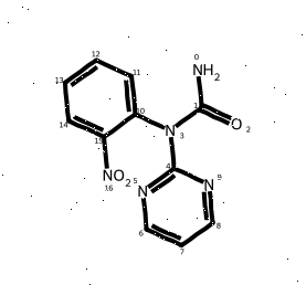 NC(=O)N(c1ncccn1)c1ccccc1[N+](=O)[O-]